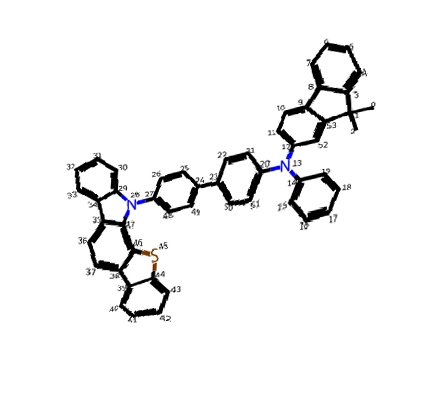 CC1(C)c2ccccc2-c2ccc(N(c3ccccc3)c3ccc(-c4ccc(-n5c6ccccc6c6ccc7c8ccccc8sc7c65)cc4)cc3)cc21